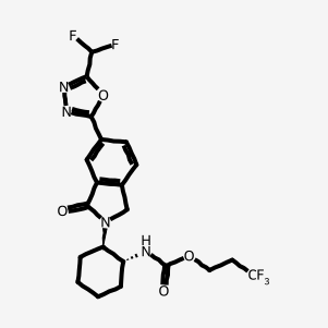 O=C(N[C@@H]1CCCC[C@H]1N1Cc2ccc(-c3nnc(C(F)F)o3)cc2C1=O)OCCC(F)(F)F